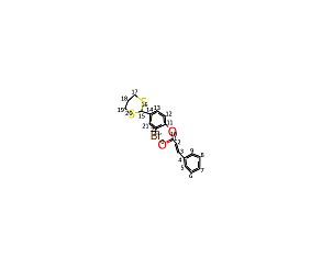 O=C(C=Cc1ccccc1)Oc1ccc(C2SCCCS2)cc1Br